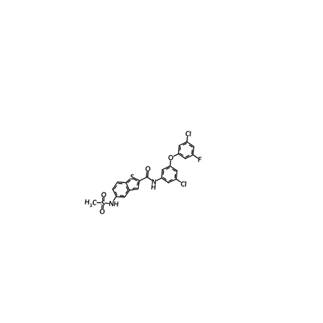 CS(=O)(=O)Nc1ccc2sc(C(=O)Nc3cc(Cl)cc(Oc4cc(F)cc(Cl)c4)c3)cc2c1